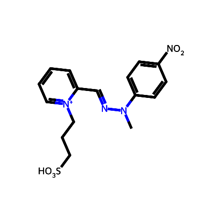 CN(N=Cc1cccc[n+]1CCCS(=O)(=O)O)c1ccc([N+](=O)[O-])cc1